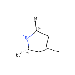 CC[C@H]1CC(C)C[C@H](CC)N1